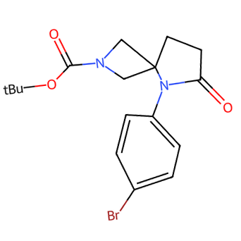 CC(C)(C)OC(=O)N1CC2(CCC(=O)N2c2ccc(Br)cc2)C1